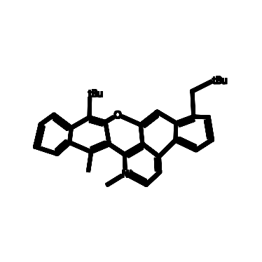 Cc1c2c(c(C(C)(C)C)c3ccccc13)Oc1cc3c(CC(C)(C)C)cccc3c3cc[n+](C)c-2c13